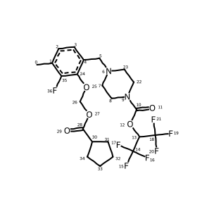 Cc1ccc(CN2CCN(C(=O)OC(C(F)(F)F)C(F)(F)F)CC2)c(OCOC(=O)C2CCCC2)c1F